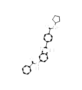 O=C(Nc1ccc2[nH]c(-c3ccc(C(=O)NC4CCCC4)cc3)nc2c1)c1ccccc1